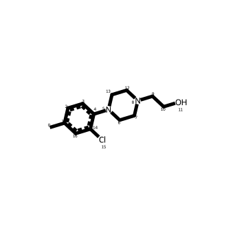 Cc1ccc(N2CCN(CCO)CC2)c(Cl)c1